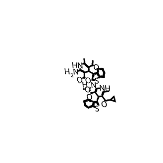 COC(=O)C1=C(N)NC(C)=C(C(=O)C2CC2)C1c1csc2ccccc12.COC(=O)C1=C(N)NC(C)=C(C(C)=O)C1c1csc2ccccc12